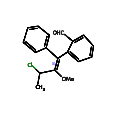 CO/C(=C(/c1ccccc1)c1ccccc1C=O)C(C)Cl